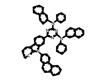 c1ccc(N(c2ccc3ccccc3c2)c2nc(-c3ccc4c5ccccc5n(-c5ccc6c(ccc7ccccc76)c5)c4c3)nc(N(c3ccccc3)c3ccc4ccccc4c3)n2)cc1